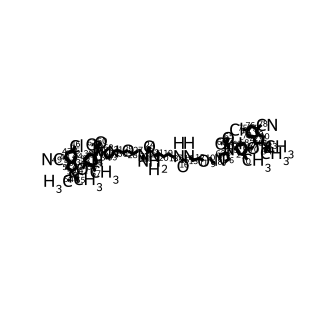 Cc1cc(N([C@@H]2CCN(CCOCCNC(=O)NCCCCNC(=O)N(N)CCOCCN3CC[C@@H](N(c4ccc(O[C@H]5c6cc(Cl)cc(C#N)c6C[C@@H]5N(C)C)c(C)c4)[SH](=O)=O)C3)C2)[SH](=O)=O)ccc1O[C@H]1c2cc(Cl)cc(C#N)c2C[C@@H]1N(C)C